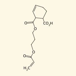 C=CC(=O)OCCCOC(=O)C1C=CCCC1C(=O)O